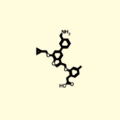 Cc1ccc(CC(=O)O)c(OCc2coc3c(OCC4CC4)cc(-c4cccc(CN)c4)cc23)c1